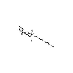 CCCCCCCCCCCCCCOc1ccc(CNC(=O)c2cc[n+](C)cc2)cc1Cl.[I-]